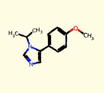 COc1ccc(-c2cncn2C(C)C)cc1